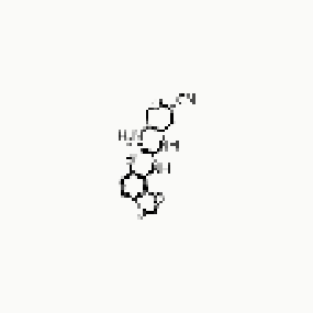 N#C[C@H]1C[C@@H](NC(=S)Nc2c(Br)ccc3c2OCO3)[C@@H](N)CO1